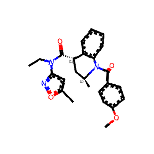 CCN(C(=O)[C@H]1C[C@H](C)N(C(=O)c2ccc(OC)cc2)c2ccccc21)c1cc(C)on1